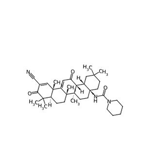 CC1(C)CC[C@]2(NC(=O)N3CCCCC3)CC[C@]3(C)[C@H](C(=O)C=C4[C@@]5(C)C=C(C#N)C(=O)C(C)(C)[C@@H]5CC[C@]43C)[C@@H]2C1